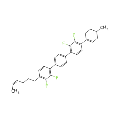 C/C=C\CCCc1ccc(-c2ccc(-c3ccc(C4=CCC(C)CC4)c(F)c3F)cc2)c(F)c1F